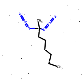 CCCCCCC(C)(N=[N+]=[N-])N=[N+]=[N-]